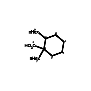 CCCCCCC1CCCCC1(CCCCCC)C(=O)O